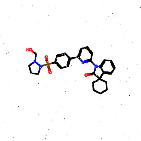 O=C(Nc1cccc(-c2ccc(S(=O)(=O)N3CCCN3CO)cc2)n1)C1(c2ccccc2)CCCCC1